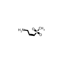 CS(=O)(=O)/C=C\CN